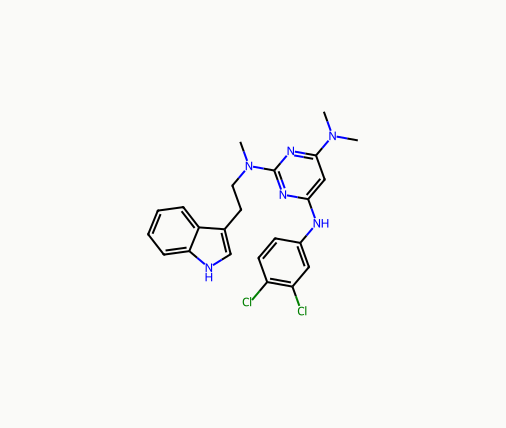 CN(C)c1cc(Nc2ccc(Cl)c(Cl)c2)nc(N(C)CCc2c[nH]c3ccccc23)n1